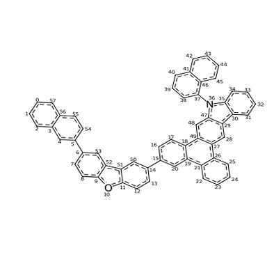 c1ccc2cc(-c3ccc4oc5ccc(-c6ccc7c(c6)c6ccccc6c6cc8c9ccccc9n(-c9cccc%10ccccc9%10)c8cc76)cc5c4c3)ccc2c1